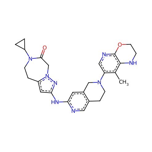 Cc1c(N2CCc3cnc(Nc4cc5n(n4)CC(=O)N(C4CC4)CC5)cc3C2)cnc2c1NCCO2